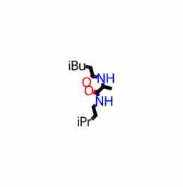 CCC(C)CC(=O)NC(C)C(=O)NCCC(C)C